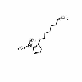 C=CCCCCCCC1=[C]([Hf]([CH2]CCC)[CH2]CCC)C=CC1